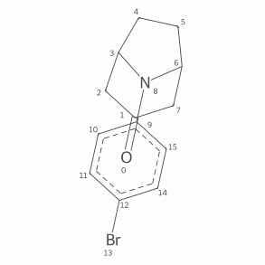 O=C1CC2CCC(C1)N2c1ccc(Br)cc1